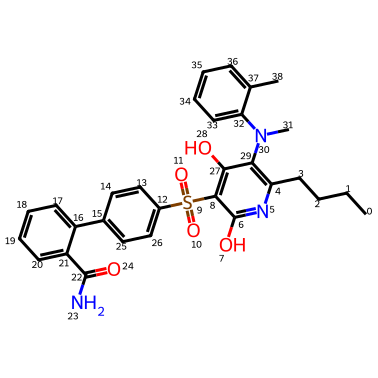 CCCCc1nc(O)c(S(=O)(=O)c2ccc(-c3ccccc3C(N)=O)cc2)c(O)c1N(C)c1ccccc1C